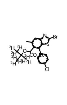 [2H]C([2H])([2H])C(O[C@H](C(=O)OCC)c1c(C)cc2nc(Br)sc2c1-c1ccc(Cl)cc1)(C([2H])([2H])[2H])C([2H])([2H])[2H]